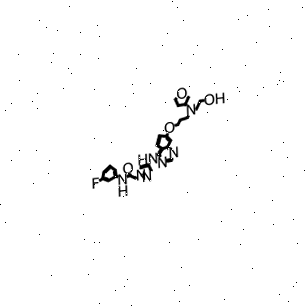 O=C(Cn1cc(Nc2ncnc3cc(OCCCN(CCO)C4CCOC4)ccc23)cn1)Nc1cccc(F)c1